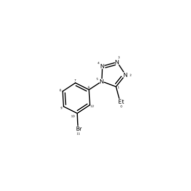 [CH2]Cc1nnnn1-c1cccc(Br)c1